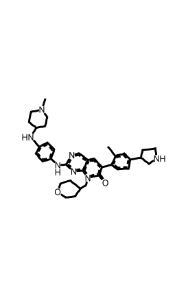 Cc1cc(C2CCNC2)ccc1-c1cc2cnc(Nc3ccc(NC4CCN(C)CC4)cc3)nc2n(CC2CCOCC2)c1=O